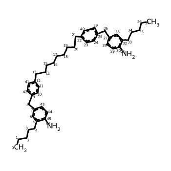 CCCCCc1cc(Cc2ccc(CCCCCCCCCc3ccc(Cc4ccc(N)c(CCCCC)c4)cc3)cc2)ccc1N